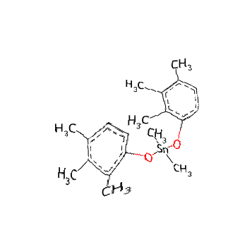 Cc1ccc([O][Sn]([CH3])([CH3])[O]c2ccc(C)c(C)c2C)c(C)c1C